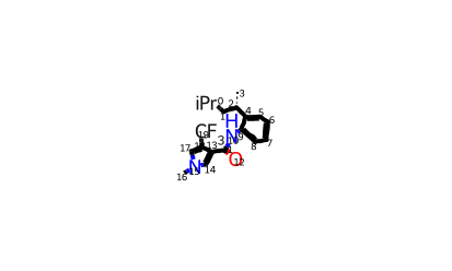 CC(C)C[C@H](C)c1ccccc1NC(=O)c1cn(C)cc1C(F)(F)F